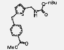 CCCCOC(=O)NCc1ccc(Sc2ccc(C(=O)OC)cc2)s1